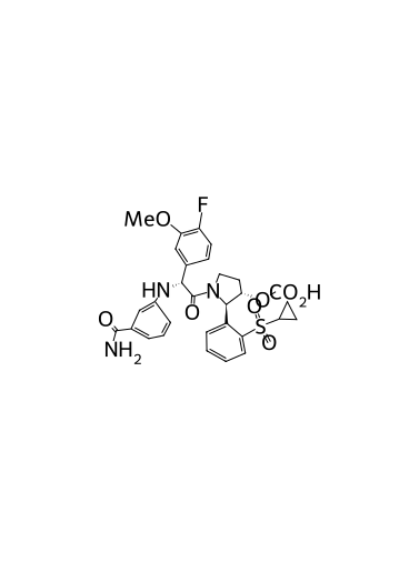 COc1cc([C@@H](Nc2cccc(C(N)=O)c2)C(=O)N2CC[C@H](OC(=O)O)[C@H]2c2ccccc2S(=O)(=O)C2CC2)ccc1F